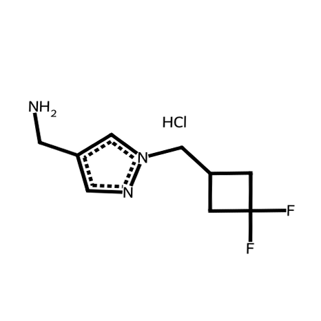 Cl.NCc1cnn(CC2CC(F)(F)C2)c1